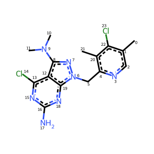 Cc1cnc(Cn2nc(N(C)C)c3c(Cl)nc(N)nc32)c(C)c1Cl